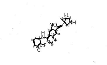 O=[N+]([O-])c1cc2c(Nc3cccc(Cl)c3F)ncnc2cc1C#C[C@@]12CNC[C@@H]1C2